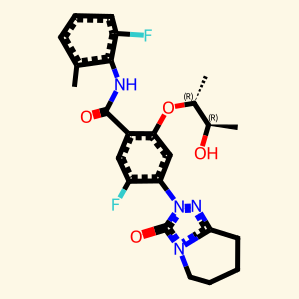 Cc1cccc(F)c1NC(=O)c1cc(F)c(-n2nc3n(c2=O)CCCC3)cc1O[C@H](C)[C@@H](C)O